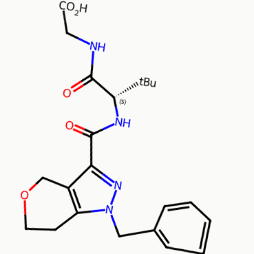 CC(C)(C)[C@H](NC(=O)c1nn(Cc2ccccc2)c2c1COCC2)C(=O)NCC(=O)O